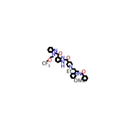 CCC(CC(CNC(=O)c1ccccc1)c1cccc(OC)c1)N1CCC(C(=O)c2nc3c(C(=O)c4nc5ccccc5n4CCOCC(F)(F)F)cccc3[nH]2)CC1